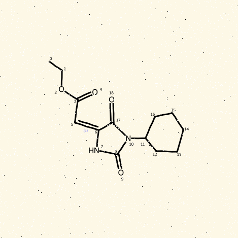 CCOC(=O)/C=C1/NC(=O)N(C2CCCCC2)C1=O